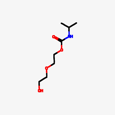 CC(C)NC(=O)OCCOCCO